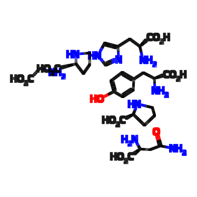 NC(=O)C[C@H](N)C(=O)O.NCC(=O)O.N[C@@H](Cc1c[nH]cn1)C(=O)O.N[C@@H](Cc1ccc(O)cc1)C(=O)O.O=C(O)[C@@H]1CCCN1.O=C(O)[C@@H]1CCCN1